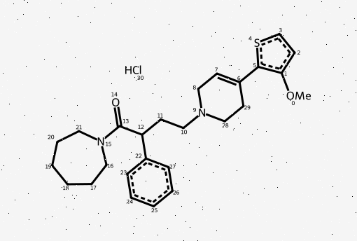 COc1ccsc1C1=CCN(CCC(C(=O)N2CCCCCC2)c2ccccc2)CC1.Cl